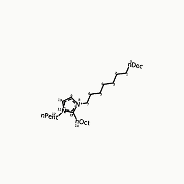 CCCCCCCCCCCCCCCCC[n+]1ccn(CCCCC)c1CCCCCCCC